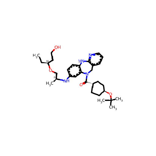 CC[C@@H](CCO)OC[C@H](C)Nc1ccc2c(c1)N(C(=O)[C@H]1CC[C@H](OC(C)(C)C)CC1)Cc1cccnc1N2